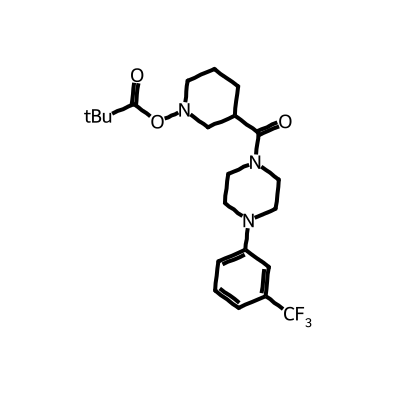 CC(C)(C)C(=O)ON1CCCC(C(=O)N2CCN(c3cccc(C(F)(F)F)c3)CC2)C1